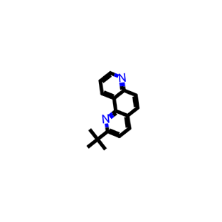 CC(C)(C)c1ccc2ccc3ncccc3c2n1